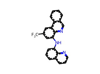 FC(F)(F)c1cc(Nc2cccc3cccnc23)c2ncc3ccccc3c2c1